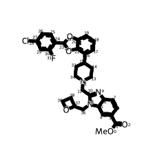 COC(=O)C1=CC2C(C=C1)N=C(CN1CCC(c3cccc4c3OC(c3ccc(Cl)cc3F)O4)CC1)N2CC1CCO1